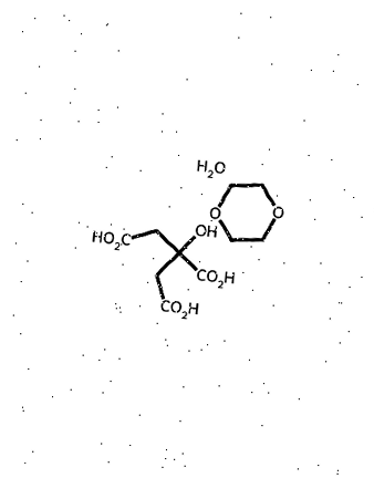 C1COCCO1.O.O=C(O)CC(O)(CC(=O)O)C(=O)O